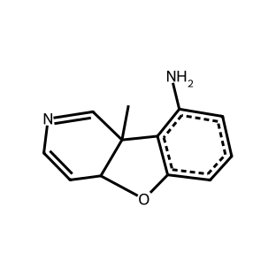 CC12C=NC=CC1Oc1cccc(N)c12